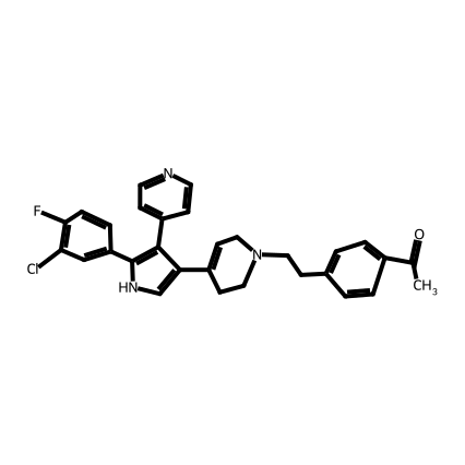 CC(=O)c1ccc(CCN2CC=C(c3c[nH]c(-c4ccc(F)c(Cl)c4)c3-c3ccncc3)CC2)cc1